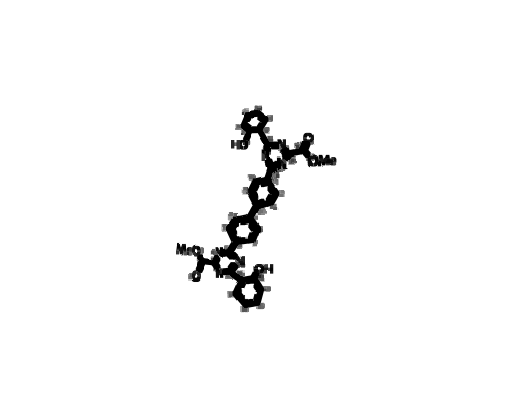 COC(=O)c1nc(-c2ccc(-c3ccc(-c4nc(C(=O)OC)nc(-c5ccccc5O)n4)cc3)cc2)nc(-c2ccccc2O)n1